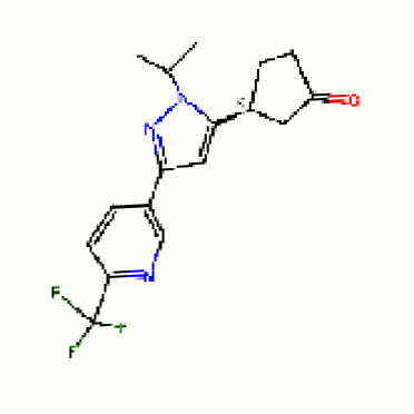 CC(C)n1nc(-c2ccc(C(F)(F)F)nc2)cc1[C@H]1CCC(=O)C1